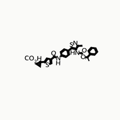 Cc1nsc(-c2ccc(NC(=O)c3csc(C4(C(=O)O)CC4)c3)cc2)c1NC(=O)O[C@H](C)c1ccccc1